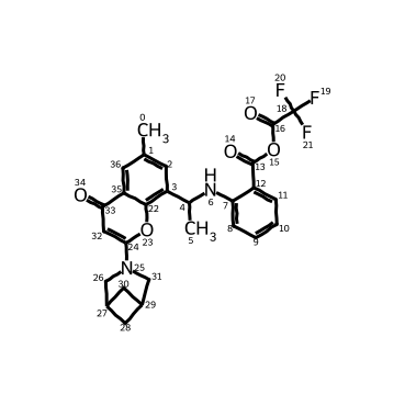 Cc1cc(C(C)Nc2ccccc2C(=O)OC(=O)C(F)(F)F)c2oc(N3CC4CC(C4)C3)cc(=O)c2c1